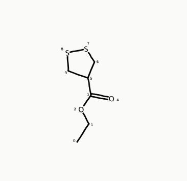 CCOC(=O)C1CSSC1